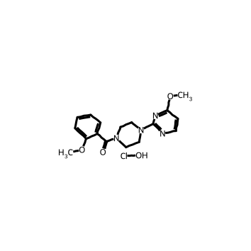 COc1ccnc(N2CCN(C(=O)c3ccccc3OC)CC2)n1.OCl